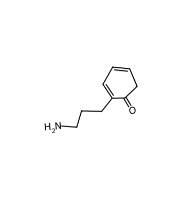 NCCCC1=CC=CCC1=O